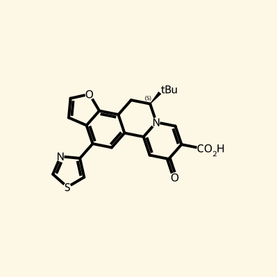 CC(C)(C)[C@@H]1Cc2c(cc(-c3cscn3)c3ccoc23)-c2cc(=O)c(C(=O)O)cn21